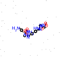 COC(=O)N[C@H](C(=O)N1CCCC1c1ncc(-c2ccc(-c3ccc(-c4cnc([C@@H]5CCCN5C(=O)[C@H](Cc5ccc(CN)cc5)OC(N)=O)[nH]4)cc3)cc2)[nH]1)C(C)C